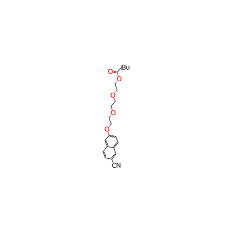 CCC(C)C(=O)OCCOCCOCCOc1ccc2cc(C#N)ccc2c1